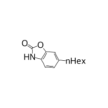 [CH2]CCCCCc1ccc2[nH]c(=O)oc2c1